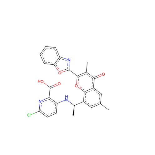 Cc1cc([C@@H](C)Nc2ccc(Cl)nc2C(=O)O)c2oc(-c3nc4ccccc4o3)c(C)c(=O)c2c1